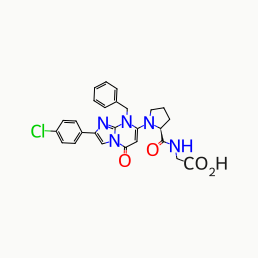 O=C(O)CNC(=O)[C@@H]1CCCN1c1cc(=O)n2cc(-c3ccc(Cl)cc3)nc2n1Cc1ccccc1